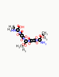 CCC(C)Nc1cc(C(=O)O)cc(-n2c(=O)c3cc4c(=O)n(-c5cc(C(=O)OC(C)C)cc(N6C(=O)C7CC(C6=O)C6C8CC(C(=O)N(c9cc(N)cc(C(=O)OC(C)CC)c9)C8=O)C76)c5)c(=O)c4cc3c2=O)c1